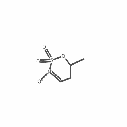 CC1CC=[N+]([O-])S(=O)(=O)O1